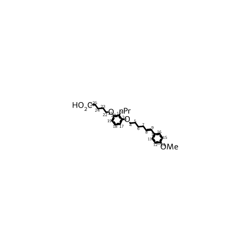 CCCc1c(OCCCC/C=C/c2ccc(OC)cc2)cccc1OCCCCC(=O)O